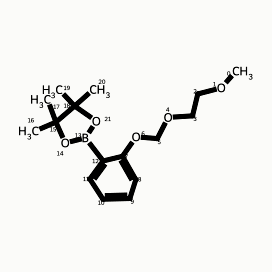 COCCOCOc1ccccc1B1OC(C)(C)C(C)(C)O1